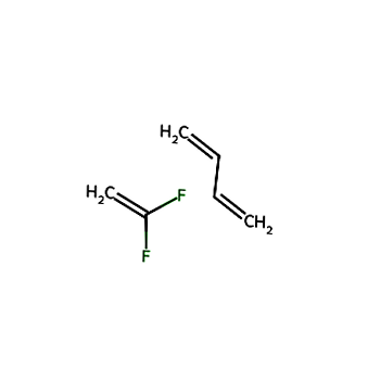 C=C(F)F.C=CC=C